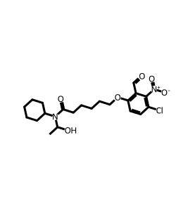 CC(O)N(C(=O)CCCCCOc1ccc(Cl)c([N+](=O)[O-])c1C=O)C1CCCCC1